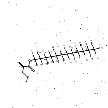 C=C(CCC)C(=O)OC(F)(F)C(F)(F)C(F)(F)C(F)(F)C(F)(F)C(F)(F)C(F)(F)C(F)(F)C(F)(F)C(F)(F)C(F)(F)C(F)(F)F